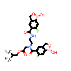 CC(C)COC(=O)CN(CCNC(=O)c1cc2c(cc1F)B(O)OC2)C(=O)c1cc2c(cc1F)B(O)OC2